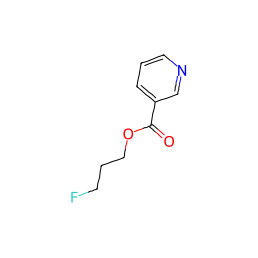 O=C(OCCCF)c1cccnc1